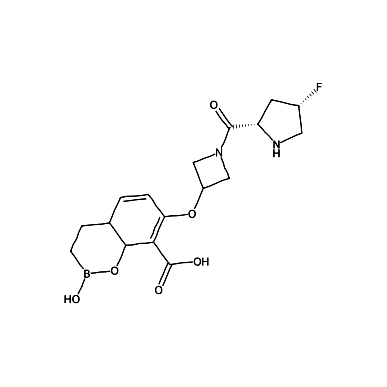 O=C(O)C1=C(OC2CN(C(=O)[C@@H]3C[C@H](F)CN3)C2)C=CC2CCB(O)OC12